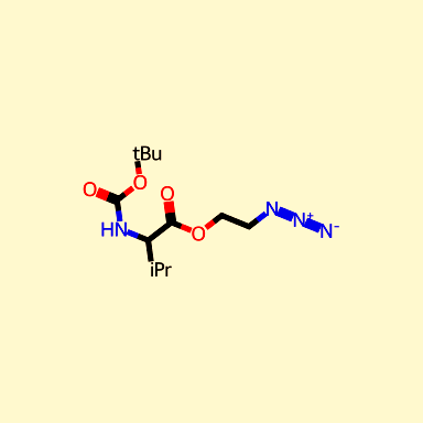 CC(C)C(NC(=O)OC(C)(C)C)C(=O)OCCN=[N+]=[N-]